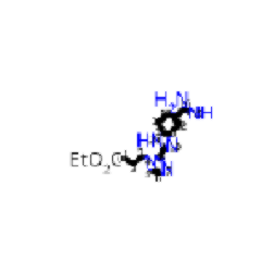 CCOC(=O)CCCn1ccnc1-c1nc2cc(C(=N)N)ccc2[nH]1